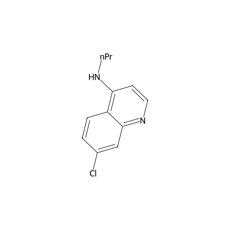 C[CH]CNc1ccnc2cc(Cl)ccc12